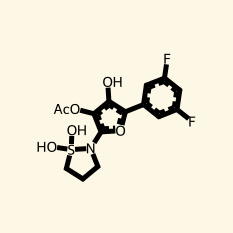 CC(=O)Oc1c(N2CCCS2(O)O)oc(-c2cc(F)cc(F)c2)c1O